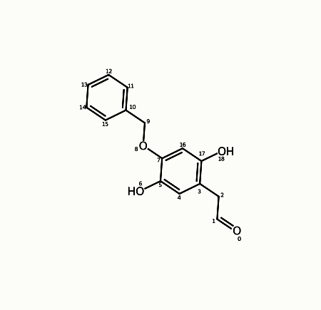 O=CCc1cc(O)c(OCc2ccccc2)cc1O